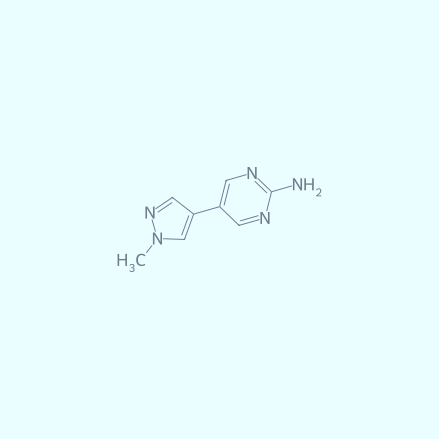 Cn1cc(-c2cnc(N)nc2)cn1